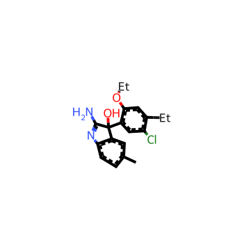 CCOc1cc(CC)c(Cl)cc1C1(O)C(N)=Nc2ccc(C)cc21